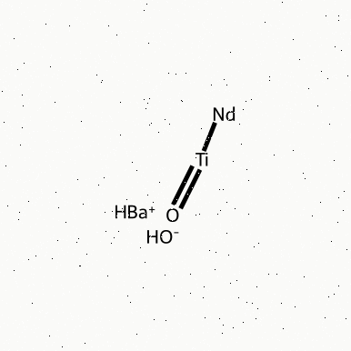 [BaH+].[OH-].[O]=[Ti][Nd]